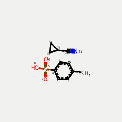 Cc1ccc(S(=O)(=O)O)cc1.N#CC1CC1